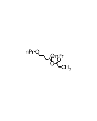 C=CC(=O)ON(CCCOCCC)OCCC